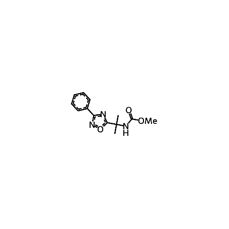 COC(=O)NC(C)(C)c1nc(-c2ccccc2)no1